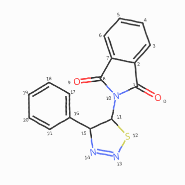 O=C1c2ccccc2C(=O)N1C1SN=NC1c1ccccc1